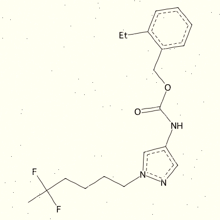 CCc1ccccc1COC(=O)Nc1cnn(CCCCC(C)(F)F)c1